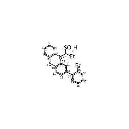 CCC(N1c2ccccc2Sc2ccc(-c3ncccc3Br)cc21)S(=O)(=O)O